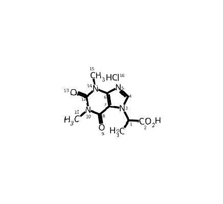 CC(C(=O)O)n1cnc2c1c(=O)n(C)c(=O)n2C.Cl